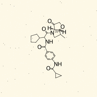 CC1CN(C(=O)C(NC(=O)c2ccc(NC(=O)C3CC3)cc2)C2CCCC2)[C@@H]2C(=O)CO[C@H]12